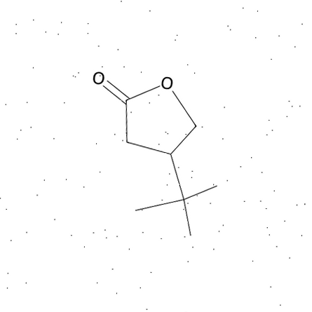 CC(C)(C)C1COC(=O)C1